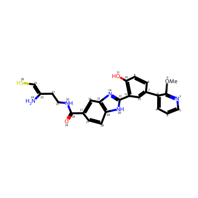 COc1ncccc1-c1ccc(O)c(-c2nc3cc(C(=O)NCC/C(N)=C/S)ccc3[nH]2)c1